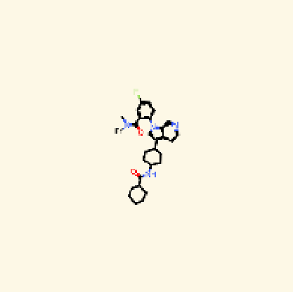 CC(C)N(C)C(=O)c1cc(F)ccc1-n1cc(C2CCC(NC(=O)C3CCCCC3)CC2)c2ccncc21